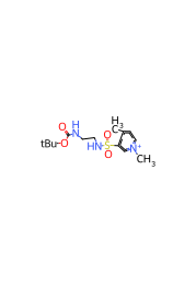 Cc1cc[n+](C)cc1S(=O)(=O)NCCNC(=O)OC(C)(C)C